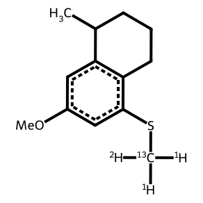 [1H][13C]([1H])([2H])Sc1cc(OC)cc2c1CCCC2C